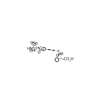 CC(CCN1Cc2cc(C#CC#C[C@@H]3C[C@@H]3P(C)(=O)Oc3ccccc3CCC(=O)O)cn2C1=O)(C(=O)NO)S(C)(=O)=O